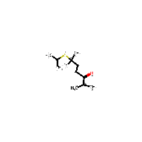 CC(C)SC(C)(C)CCC(=O)C(C)C